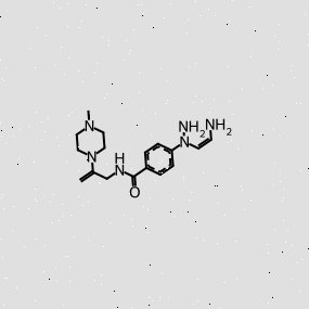 C=C(CNC(=O)c1ccc(N(N)/C=C\N)cc1)N1CCN(C)CC1